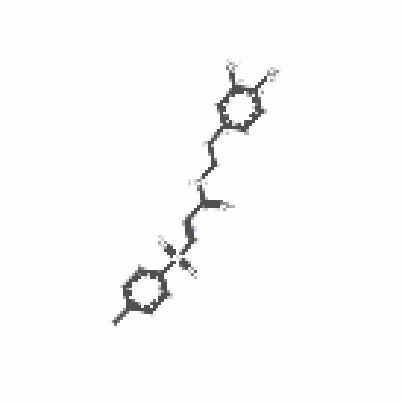 Cc1ccc(S(=O)(=O)/C=C/C(=O)NCCc2ccc(O)c(O)c2)cc1